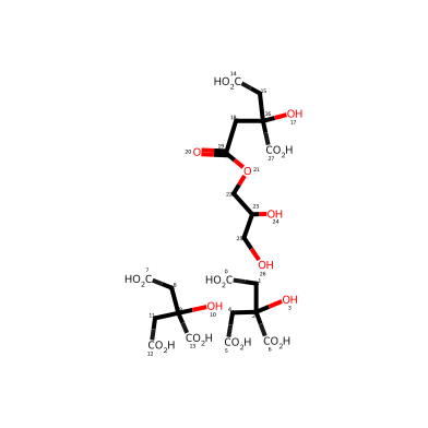 O=C(O)CC(O)(CC(=O)O)C(=O)O.O=C(O)CC(O)(CC(=O)O)C(=O)O.O=C(O)CC(O)(CC(=O)OCC(O)CO)C(=O)O